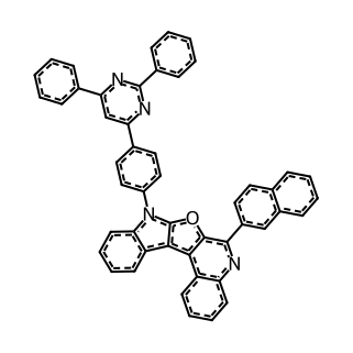 c1ccc(-c2cc(-c3ccc(-n4c5ccccc5c5c6c(oc54)c(-c4ccc5ccccc5c4)nc4ccccc46)cc3)nc(-c3ccccc3)n2)cc1